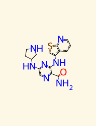 NC(=O)c1ncc(NC2CCNC2)nc1Nc1csc2ncccc12